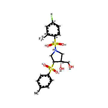 N#Cc1ccc(S(=O)(=O)[C@H]2CN(S(=O)(=O)c3ccc(F)cc3C(F)(F)F)C[C@@]2(O)CO)cc1